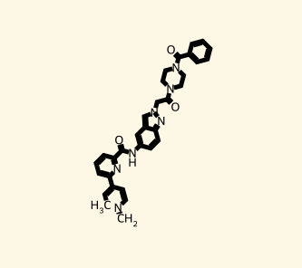 C=N/C=C\C(=C/C)c1cccc(C(=O)Nc2ccc3nn(CC(=O)N4CCN(C(=O)c5ccccc5)CC4)cc3c2)n1